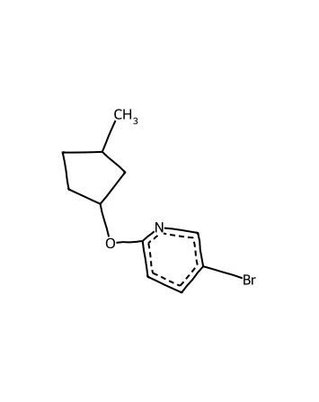 CC1CCC(Oc2ccc(Br)cn2)C1